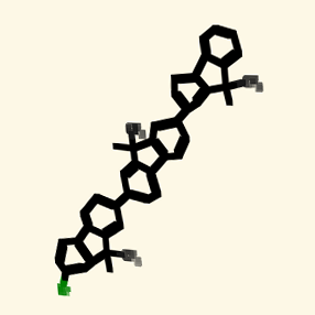 CC1(C(F)(F)F)c2ccccc2-c2ccc(-c3ccc4c(c3)C(C)(C(F)(F)F)c3cc(-c5ccc6c(c5)C(C)(C(F)(F)F)c5cc(Br)ccc5-6)ccc3-4)cc21